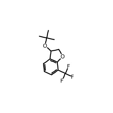 CC(C)(C)OC1COc2c1cccc2C(F)(F)F